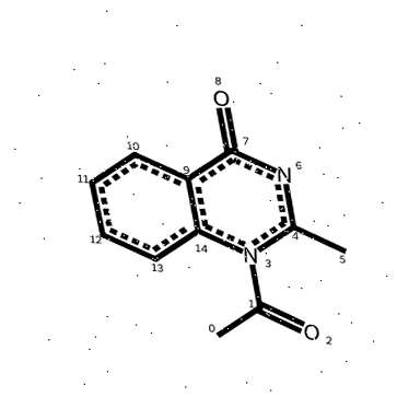 CC(=O)n1c(C)nc(=O)c2ccccc21